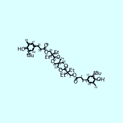 CCC(CC)(COC(=O)CCc1cc(C)c(O)c(C(C)(C)C)c1)C1OCC2(CO1)COC(C(CC)(CC)COC(=O)CCc1cc(C)c(O)c(C(C)(C)C)c1)OC2